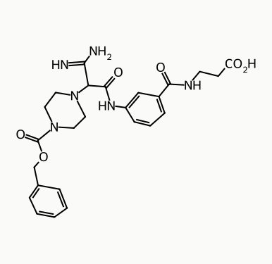 N=C(N)C(C(=O)Nc1cccc(C(=O)NCCC(=O)O)c1)N1CCN(C(=O)OCc2ccccc2)CC1